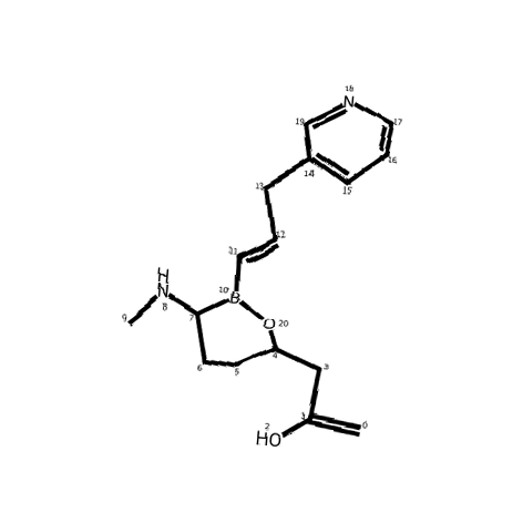 C=C(O)CC1CCC(NC)B(/C=C/Cc2cccnc2)O1